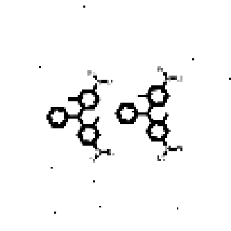 CCN(CC)c1ccc(C(c2ccccc2)c2ccc(N(CC)CC)cc2C)c(C)c1.CCN(CC)c1ccc(C(c2ccccc2)c2ccc(N(CC)CC)cc2C)c(C)c1